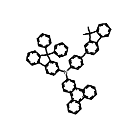 CC1(C)c2ccccc2-c2ccc(-c3ccc(N(c4ccc5c(c4)C(c4ccccc4)(c4ccccc4)c4ccccc4-5)c4ccc5c6ccccc6c6ccccc6c5c4)cc3)cc21